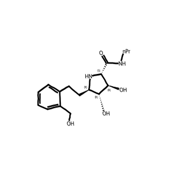 CCCNC(=O)[C@H]1N[C@H](CCc2ccccc2CO)[C@@H](O)[C@@H]1O